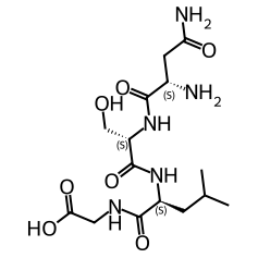 CC(C)C[C@H](NC(=O)[C@H](CO)NC(=O)[C@@H](N)CC(N)=O)C(=O)NCC(=O)O